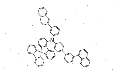 c1cc(-c2ccc(N(c3cccc(-c4ccc5ccccc5c4)c3)c3cccc4c3-c3ccccc3C43c4ccccc4-c4ccccc43)cc2)cc(-c2cccc3ccccc23)c1